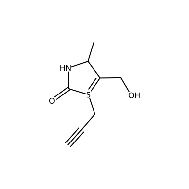 C#CCS1=C(CO)C(C)NC1=O